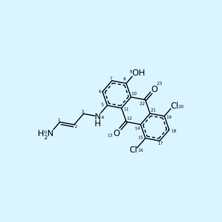 NC=CCNc1ccc(O)c2c1C(=O)c1c(Cl)ccc(Cl)c1C2=O